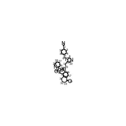 N#Cc1ccc(Cn2cncc2CCOc2ccc3c(c2CS(=O)(=O)c2ccccn2)CCCC3=O)cc1